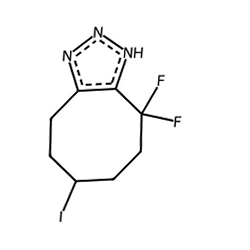 FC1(F)CCC(I)CCc2nn[nH]c21